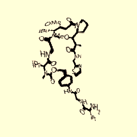 CC[C@H](C)[C@@H]([C@@H](CC(=O)N1CCC[C@H]1[C@H](OC)[C@@H](C)C(=O)NCc1nccs1)OC)N(C)C(=O)CNC(=O)[C@H](C(C)C)N(C)C(=O)OCc1ccc(NC(=O)CNC(=O)[C@@H](N)C(C)C)cc1